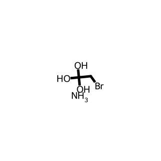 N.OC(O)(O)CBr